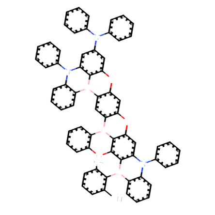 Cc1cccc(C)c1B1c2ccccc2N(c2ccccc2)c2cc3c4c(c21)Oc1ccccc1B4c1cc2c(cc1O3)Oc1cc(N(c3ccccc3)c3ccccc3)cc3c1B2c1ccccc1N3c1ccccc1